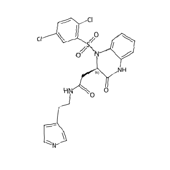 O=C(C[C@@H]1C(=O)Nc2ccccc2N1S(=O)(=O)c1cc(Cl)ccc1Cl)NCCc1ccncc1